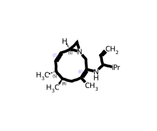 C=CC(N/C1=C(\C)C[C@@H](C)[C@H](C)/C=C\[C@H]2CN2C1)C(C)C